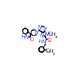 Cc1ccccc1CNC(=O)c1nc2c(N3CCC4(CC3)C(=O)Nc3ccccc34)ncnc2n1C